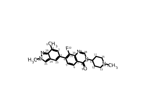 Cc1cc(-c2ccc3c(=O)n(C4CCN(C)CC4)cnc3c2F)cc2cn(C)nc12